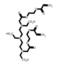 C=CC(=O)OCCOC(=O)CN(CCN(CCN(CC(=O)O)CC(=O)OCCOC(=O)C=C)CC(=O)O)CC(=O)O